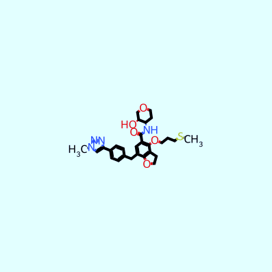 CSCCCOc1c(C(=O)N[C@H]2CCOC[C@@H]2O)cc(Cc2ccc(-c3cn(C)nn3)cc2)c2c1CCO2